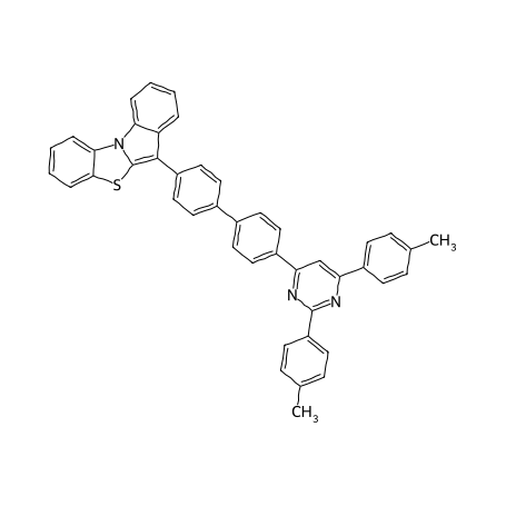 Cc1ccc(-c2cc(-c3ccc(-c4ccc(-c5c6ccccc6n6c5sc5ccccc56)cc4)cc3)nc(-c3ccc(C)cc3)n2)cc1